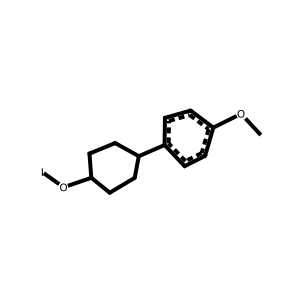 COc1ccc(C2CCC(OI)CC2)cc1